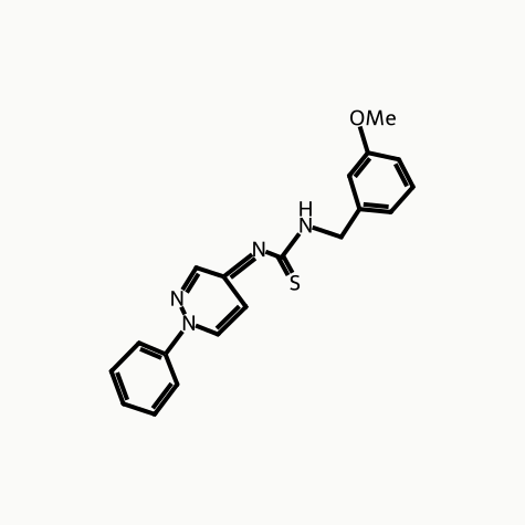 COc1cccc(CNC(=S)/N=c2\ccn(-c3ccccc3)nc2)c1